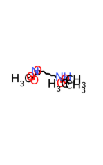 COC(=O)c1cc(CCCCCCNC(=O)OC(C)(C)C)on1